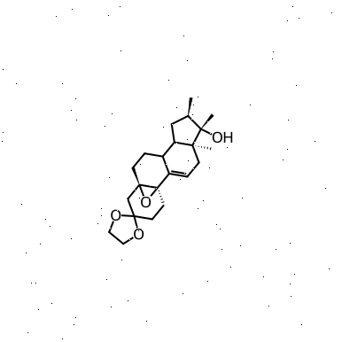 C[C@@H]1CC2C3CC[C@@]45CC6(CC[C@@]4(O5)C3=CC[C@]2(C)[C@@]1(C)O)OCCO6